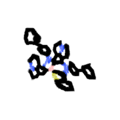 c1ccc(-c2ccc(N3c4c(cc5c6c4CCCN6CCC5)B4c5sc6ccccc6c5N(c5ccc(-c6ccccc6)cc5)c5c6c7c(c3c54)CCCN7CCC6)cc2)cc1